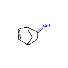 N=C1CC2C=CC1C2